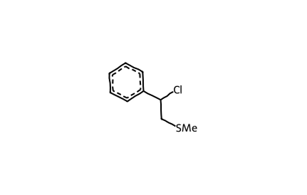 CSCC(Cl)c1ccccc1